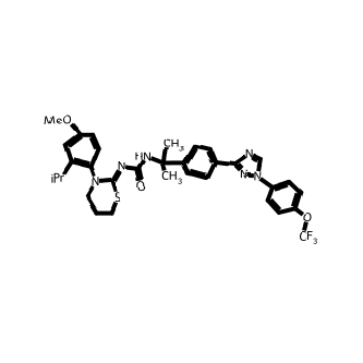 COc1ccc(N2CCCS/C2=N\C(=O)NC(C)(C)c2ccc(-c3ncn(-c4ccc(OC(F)(F)F)cc4)n3)cc2)c(C(C)C)c1